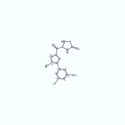 O=C1CNC(C(=O)c2cc(-c3cc(F)cc(Cl)c3)c(Br)o2)N1